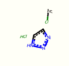 CC(=O)Cl.Cl.c1c[nH]nn1